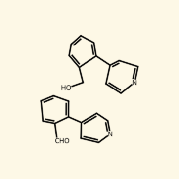 O=Cc1ccccc1-c1ccncc1.OCc1ccccc1-c1ccncc1